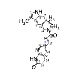 Cc1cc2[nH]cc(C)c2cc1CN(C)C(=O)/C=C/c1cnc2c(c1)CCC(=O)N2